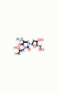 Cc1cn([C@H]2CC(O)[C@@H](CO)O2)c(=O)n(CC(O)CF)c1=O